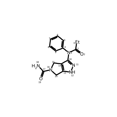 CCC(=O)N(c1ccccc1)c1n[nH]c2c1CN(C(N)=O)C2